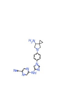 N#Cc1cnc(Nc2cn(-c3ccc(N4CC(N)C5(CC5)C4)cc3)cn2)cn1